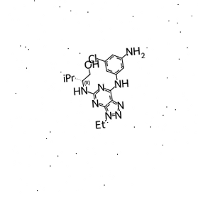 CCn1nnc2c(Nc3cc(N)cc(Cl)c3)nc(N[C@@H](CO)C(C)C)nc21